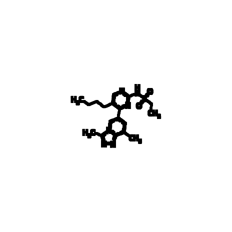 CCCCc1cnc(NS(=O)(=O)CC)nc1-c1cc(C)c2nnc(C)n2c1